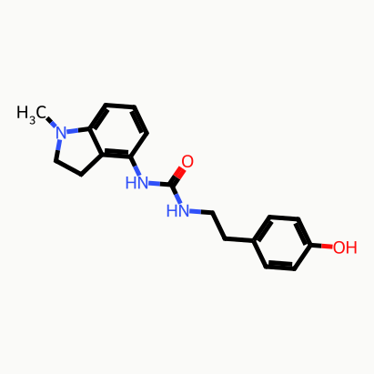 CN1CCc2c(NC(=O)NCCc3ccc(O)cc3)cccc21